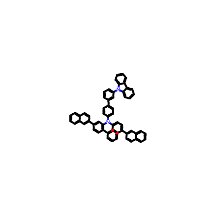 c1ccc(-c2ccc(-c3ccc4ccccc4c3)cc2N(c2ccc(-c3cccc(-n4c5ccccc5c5ccccc54)c3)cc2)c2ccc(-c3ccc4ccccc4c3)cc2)cc1